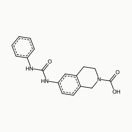 O=C(Nc1ccccc1)Nc1ccc2c(c1)CCN(C(=O)O)C2